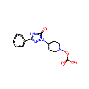 O=C(O)ON1CCC(n2nc(-c3ccccc3)[nH]c2=O)CC1